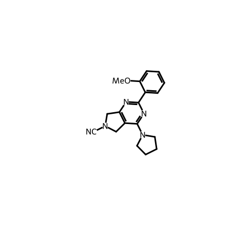 COc1ccccc1-c1nc2c(c(N3CCCC3)n1)CN(C#N)C2